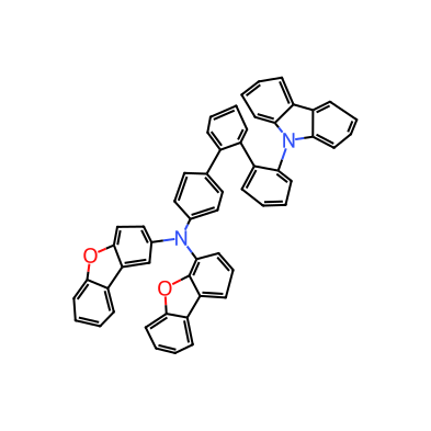 c1ccc(-c2ccccc2-n2c3ccccc3c3ccccc32)c(-c2ccc(N(c3ccc4oc5ccccc5c4c3)c3cccc4c3oc3ccccc34)cc2)c1